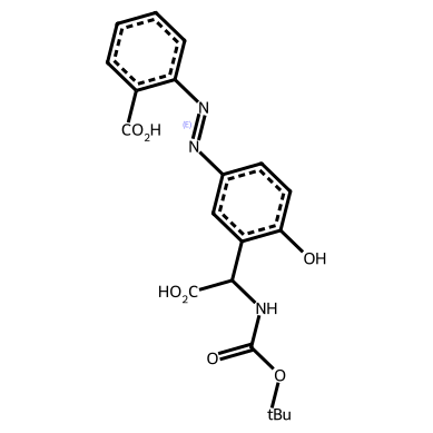 CC(C)(C)OC(=O)NC(C(=O)O)c1cc(/N=N/c2ccccc2C(=O)O)ccc1O